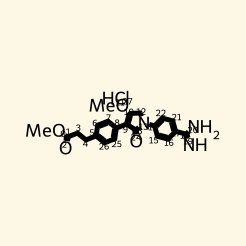 COC(=O)CCc1ccc(C2=C(OC)CN(c3ccc(C(=N)N)cc3)C2=O)cc1.Cl